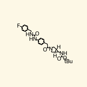 CC(C)(C)OC(=O)NC1[C@H]2CN(C(=O)Cc3ccc(NC(=O)NCc4ccc(F)cc4)cc3)C[C@@H]12